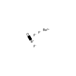 [B+]=O.[Ba+2].[F-].[F-].[F-]